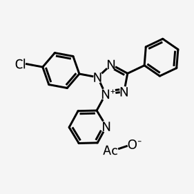 CC(=O)[O-].Clc1ccc(-n2nc(-c3ccccc3)n[n+]2-c2ccccn2)cc1